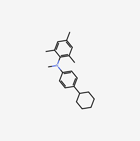 Cc1cc(C)c(N(C)c2ccc(C3CCCCC3)cc2)c(C)c1